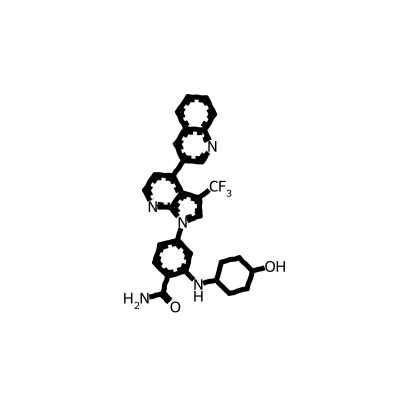 NC(=O)c1ccc(-n2cc(C(F)(F)F)c3c(-c4cnc5ccccc5c4)ccnc32)cc1NC1CCC(O)CC1